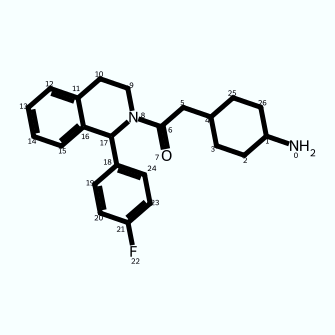 NC1CCC(CC(=O)N2CCc3ccccc3C2c2ccc(F)cc2)CC1